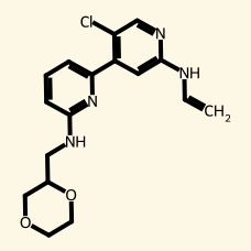 C=CNc1cc(-c2cccc(NCC3COCCO3)n2)c(Cl)cn1